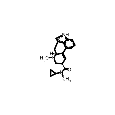 CN(C(=O)[C@@H]1C=C2c3cccc4[nH]cc(c34)C[C@H]2N(C)C1)C1CC1